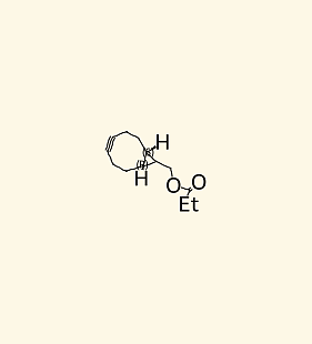 CCC(=O)OCC1[C@H]2CCC#CCC[C@@H]12